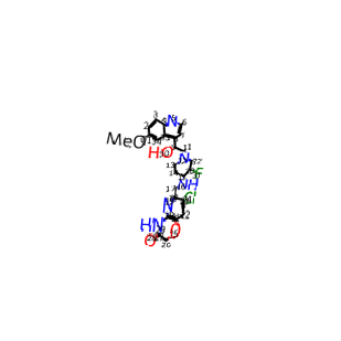 COc1ccc2nccc([C@@H](O)CN3CC[C@H](NCc4nc5c(cc4Cl)OCC(=O)N5)[C@H](F)C3)c2c1